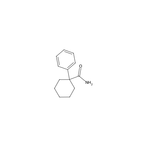 NC(=O)C1(c2ccccc2)CCCCC1